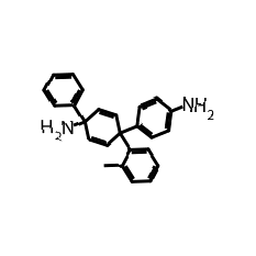 Cc1ccccc1C1(c2ccc(N)cc2)C=CC(N)(c2ccccc2)C=C1